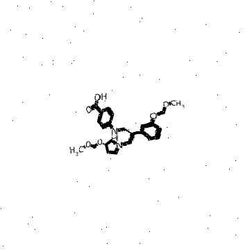 COCOc1cccc([C@H](CNc2ccc(C(=O)O)cc2)CN2CC[C@H](OCOC)C2)c1